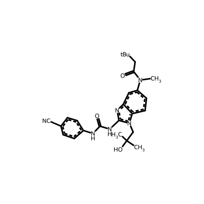 CN(C(=O)CC(C)(C)C)c1ccc2c(c1)nc(NC(=O)Nc1ccc(C#N)cc1)n2CC(C)(C)O